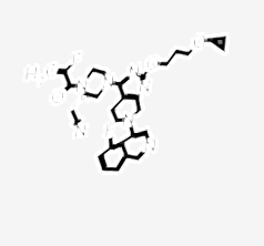 C=C(F)C(=O)N1CCN(c2nc(OCCCOC3CC3)nc3c2CCN(c2cncc4cccc(F)c24)C3)C[C@@H]1CC#N